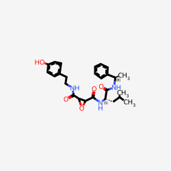 CC(C)C[C@H](NC(=O)C1OC1C(=O)NCCc1ccc(O)cc1)C(=O)N[C@H](C)c1ccccc1